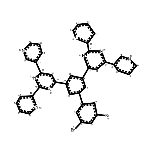 Brc1cc(Br)cc(-c2cc(-c3cc(-c4cccnc4)nc(-c4ccccn4)n3)cc(-c3cc(-c4cccnc4)nc(-c4ccccn4)n3)c2)c1